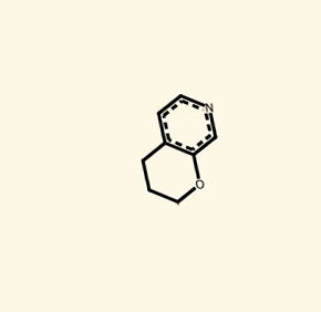 [CH]1CCc2ccncc2O1